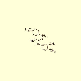 Cc1ccc(NC(=O)C(=N)C2=C(N)CCC(C)C2)cc1C